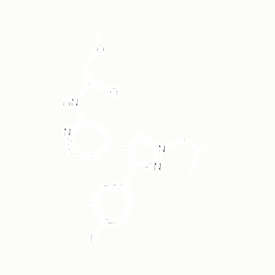 COCC(=O)Nc1cc(-c2cn(CC(C)C)nc2-c2ccc(F)cc2)ccn1